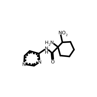 NC1(C(=O)Nc2ccncn2)CCCCC1[N+](=O)[O-]